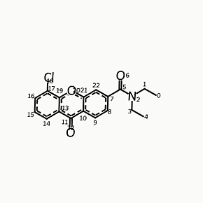 CCN(CC)C(=O)c1ccc2c(=O)c3cccc(Cl)c3oc2c1